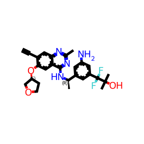 C#Cc1cc2nc(C)nc(N[C@H](C)c3cc(N)cc(C(F)(F)C(C)(C)O)c3)c2cc1O[C@H]1CCOC1